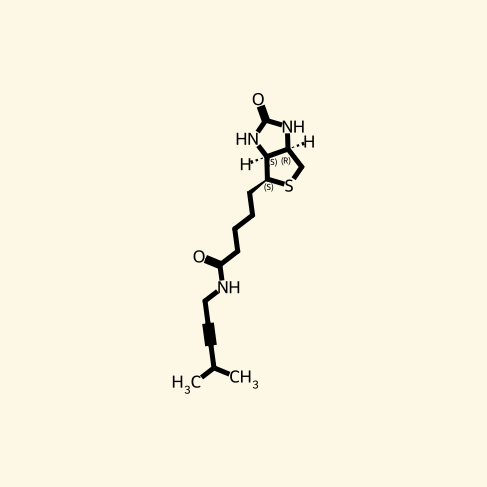 CC(C)C#CCNC(=O)CCCC[C@@H]1SC[C@@H]2NC(=O)N[C@@H]21